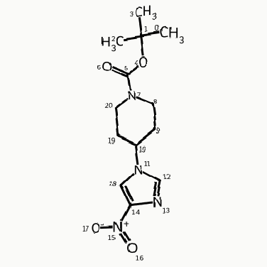 CC(C)(C)OC(=O)N1CCC(n2cnc([N+](=O)[O-])c2)CC1